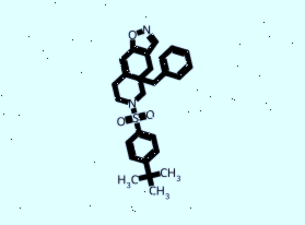 CC(C)(C)c1ccc(S(=O)(=O)N2CCC3=Cc4oncc4CC3(Cc3ccccc3)C2)cc1